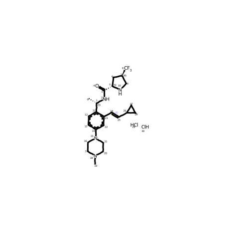 C[C@H](NC(=O)[C@@H]1C[C@@H](C(F)(F)F)CN1)c1ccc(N2CCN(C)CC2)cc1/C=C/C1CC1.Cl.Cl